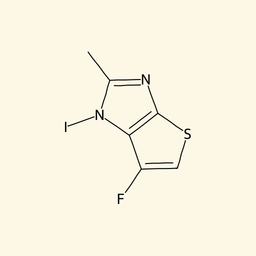 Cc1nc2scc(F)c2n1I